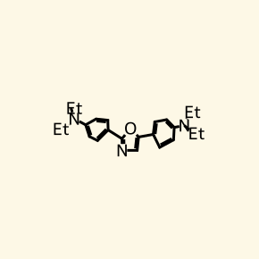 CCN(CC)c1ccc(-c2cnc(-c3ccc(N(CC)CC)cc3)o2)cc1